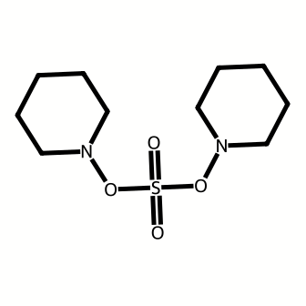 O=S(=O)(ON1CCCCC1)ON1CCCCC1